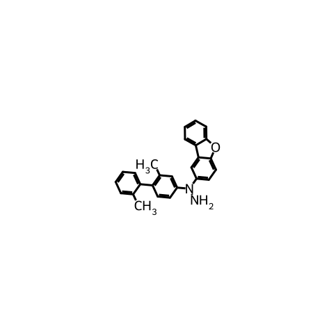 Cc1ccccc1-c1ccc(N(N)c2ccc3oc4ccccc4c3c2)cc1C